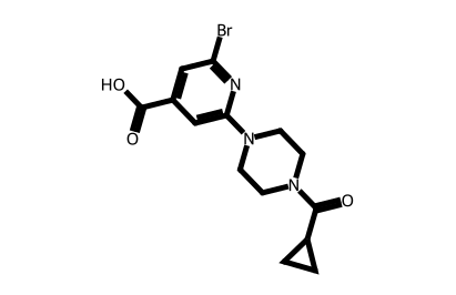 O=C(O)c1cc(Br)nc(N2CCN(C(=O)C3CC3)CC2)c1